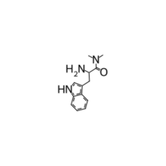 CN(C)C(=O)C(N)Cc1c[nH]c2ccccc12